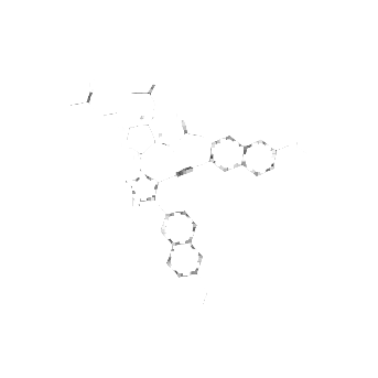 COc1ccc2cc(C#Cc3c(-c4ccc5cc(OC)ccc5c4)nnn3[C@@H]3O[C@H](COC(C)=O)[C@@H](OC(C)=O)[C@H]3OC(C)=O)ccc2c1